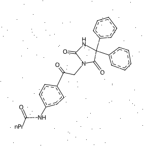 CCCC(=O)Nc1ccc(C(=O)CN2C(=O)NC(c3ccccc3)(c3ccccc3)C2=O)cc1